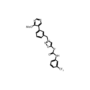 COc1ncncc1-c1cccc(C[n+]2cc([N-]C(=O)Nc3cccc(C(F)(F)F)c3)on2)c1